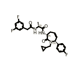 C[C@H](NC(=O)Cc1cc(F)cc(F)c1)C(=O)N[C@@H]1CC=C[C@@H](c2ccc(F)cc2)N(CC2CC2)C1=O